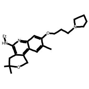 CCNc1nc2cc(OCCCN3CCCC3)c(C)cc2c2c1CC(C)(C)OC2